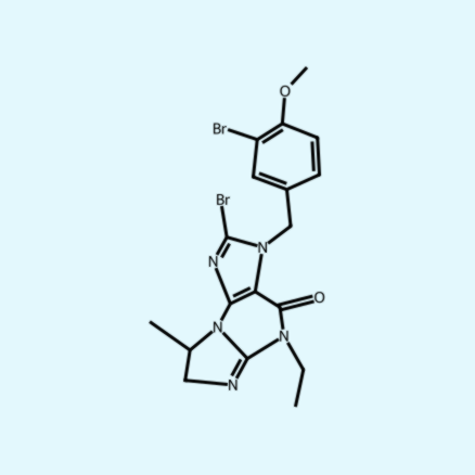 CCN1C(=O)c2c(nc(Br)n2Cc2ccc(OC)c(Br)c2)N2C1=NCC2C